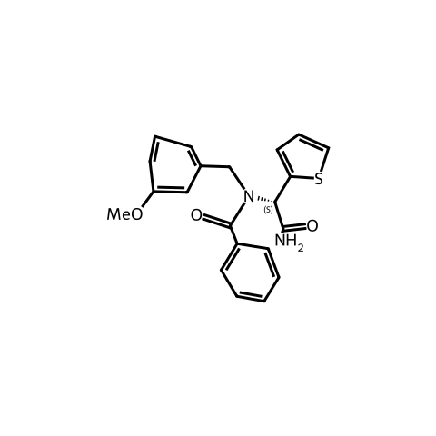 COc1cccc(CN(C(=O)c2ccccc2)[C@@H](C(N)=O)c2cccs2)c1